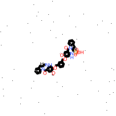 COc1cc2c(cc1OCc1cccc(COc3cc4c(cc3OC)C(=O)N3c5ccccc5C[C@H]3C(S(=O)(=O)O)N4)c1)NC[C@@H]1Cc3ccccc3N1C2=O